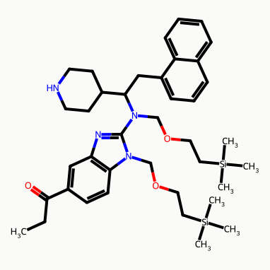 CCC(=O)c1ccc2c(c1)nc(N(COCC[Si](C)(C)C)C(Cc1cccc3ccccc13)C1CCNCC1)n2COCC[Si](C)(C)C